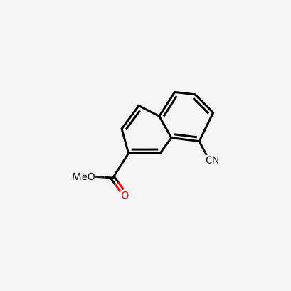 COC(=O)c1ccc2cccc(C#N)c2c1